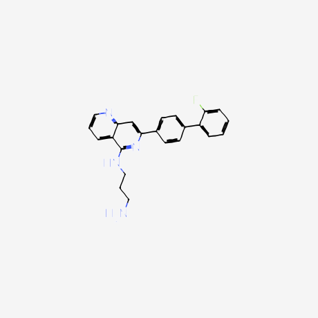 NCCCNc1nc(-c2ccc(-c3ccccc3F)cc2)cc2ncccc12